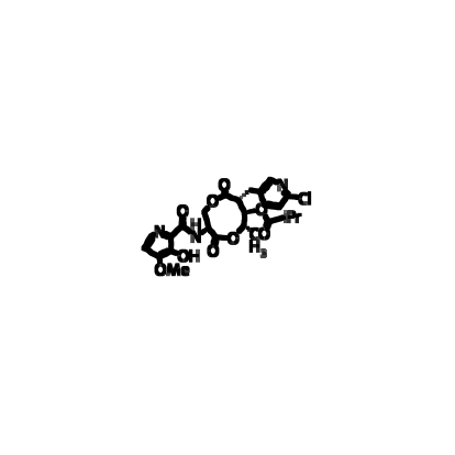 COc1ccnc(C(=O)N[C@H]2COC(=O)[C@H](Cc3ccc(Cl)nc3)[C@@H](OC(=O)C(C)C)[C@H](C)OC2=O)c1O